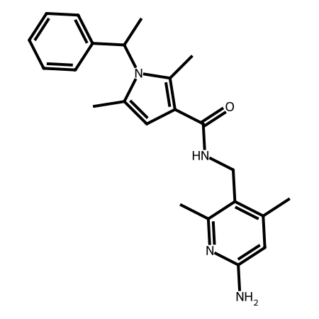 Cc1cc(N)nc(C)c1CNC(=O)c1cc(C)n(C(C)c2ccccc2)c1C